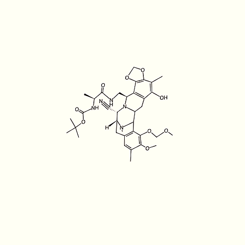 COCOc1c(OC)c(C)cc2c1C1C3Cc4c(O)c(C)c5c(c4[C@H](CNC(=O)[C@H](C)NC(=O)OC(C)(C)C)N3[C@@H](C#N)[C@@H](C2)N1C)OCO5